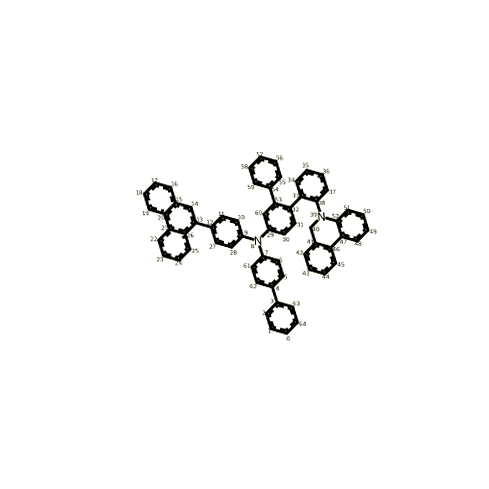 c1ccc(-c2ccc(N(c3ccc(-c4cc5ccccc5c5ccccc45)cc3)c3ccc(-c4ccccc4N4Cc5ccccc5-c5ccccc54)c(-c4ccccc4)c3)cc2)cc1